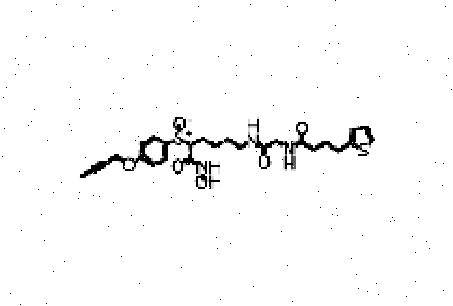 CC#CCOc1ccc([S+]([O-])C(CCCCNC(=O)CNC(=O)CCCc2cccs2)C(=O)NO)cc1